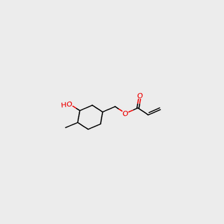 C=CC(=O)OCC1CCC(C)C(O)C1